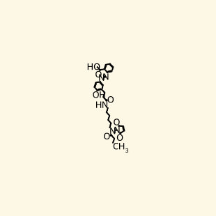 CCCC(=O)N(CCCCCCNC(=O)CCc1cc(N=Nc2ccccc2C(=O)O)ccc1O)N1C(=O)C=CC1=O